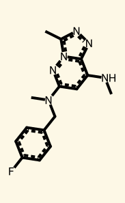 CNc1cc(N(C)Cc2ccc(F)cc2)nn2c(C)nnc12